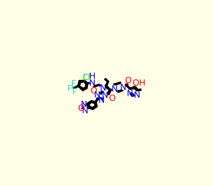 CCc1c(N2CCN(C(=O)c3ncnc(C)c3O)CC2)c(=O)n2nc(-c3ccc4nonc4c3)nc2n1CC(=O)Nc1ccc(C(F)(F)F)cc1Cl